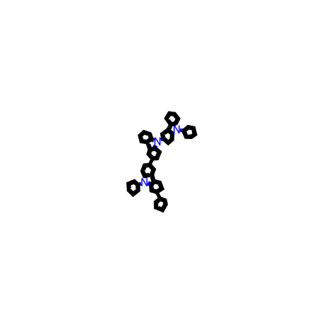 c1ccc(-c2ccc3c4cc(-c5ccc6c(c5)c5ccccc5n6-c5ccc6c(c5)c5ccccc5n6-c5ccccc5)ccc4n(-c4ccccc4)c3c2)cc1